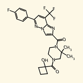 CC1(C)CN(C(=O)C2(O)CCC2)CCN1C(=O)c1cn2nc(-c3ccc(F)cc3)cc(C(F)(F)F)c2n1